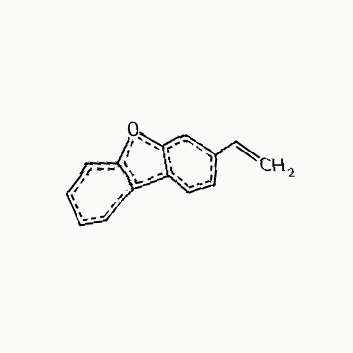 C=Cc1ccc2c(c1)oc1ccccc12